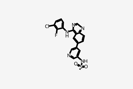 CS(=O)(=O)Nc1cncc(-c2ccc3ncnc(Nc4cccc(Cl)c4F)c3c2)c1